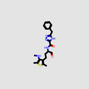 CNc1c(C)sc(C)c1CCC(C=O)NC(=O)c1nnc(Cc2ccccc2)[nH]1